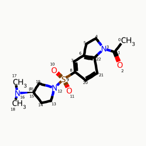 CC(=O)N1CCc2cc(S(=O)(=O)N3CC[C@@H](N(C)C)C3)ccc21